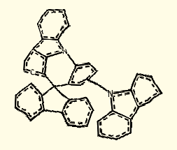 c1ccc2c(c1)-c1ccccc1C21c2cc(-n3c4ccccc4c4ccccc43)ccc2-n2c3ccccc3c3cccc1c32